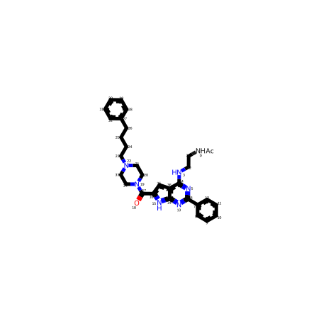 CC(=O)NCCNc1nc(-c2ccccc2)nc2[nH]c(C(=O)N3CCN(CCCCc4ccccc4)CC3)cc12